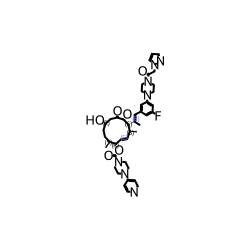 C/C(=C\c1cc(F)cc(N2CCN(C(=O)Cn3cccn3)CC2)c1)[C@H]1C(=O)C(=O)C[C@H](O)CC[C@H](C)[C@@H](OC(=O)N2CCN(c3ccncc3)CC2)/C=C/[C@@H]1C